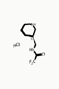 Cl.O=C(NC[C@H]1CCCNC1)C(F)(F)F